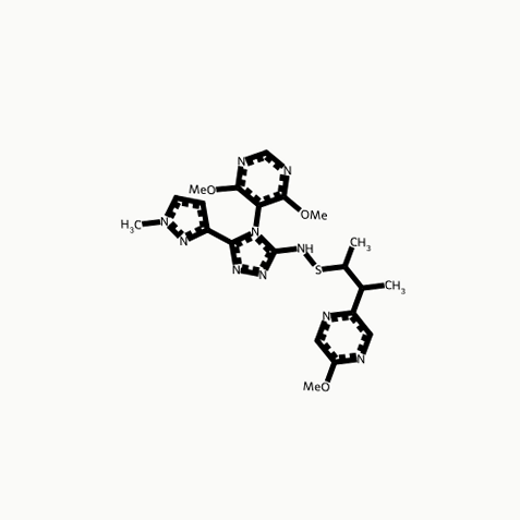 COc1cnc(C(C)C(C)SNc2nnc(-c3ccn(C)n3)n2-c2c(OC)ncnc2OC)cn1